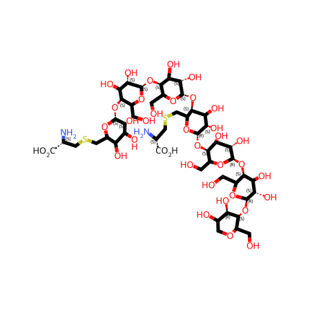 N[C@H](CSCC1O[C@H](O[C@@H]2C(CO)O[C@@H](O[C@@H]3C(CO)O[C@@H](O[C@@H]4C(CSC[C@@H](N)C(=O)O)O[C@@H](O[C@@H]5C(CO)O[C@H](O[C@@H]6C(CO)O[C@H](O[C@@H]7C(CO)OCC(O)[C@H]7O)[C@@H](O)C6O)[C@@H](O)C5O)[C@@H](O)C4O)[C@@H](O)C3O)[C@@H](O)C2O)[C@@H](O)C(O)C1O)C(=O)O